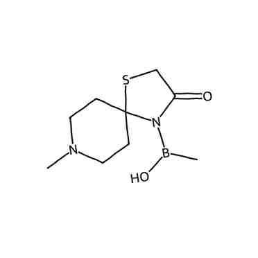 CB(O)N1C(=O)CSC12CCN(C)CC2